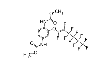 COC(=O)Nc1ccc(NC(=O)OC)c(OC(F)=C(F)C(F)(F)C(F)(F)C(F)(F)C(F)(F)F)c1